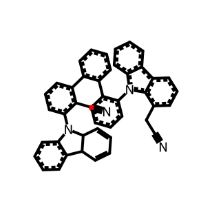 N#CCc1cccc2c3ccccc3n(-c3ccccc3-c3ccccc3-c3cccc(N4c5ccccc5C5C=CC=CC54)c3C#N)c12